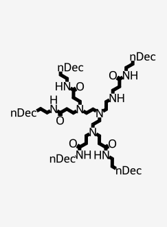 CCCCCCCCCCCCNC(=O)CCNCCN(CCN(CCC(=O)NCCCCCCCCCC)CCC(=O)NCCCCCCCCCCCC)CCN(CCC(=O)NCCCCCCCCCCCC)CCC(=O)NCCCCCCCCCCCC